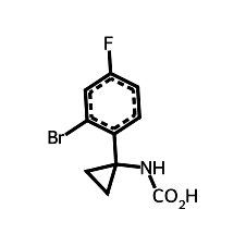 O=C(O)NC1(c2ccc(F)cc2Br)CC1